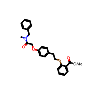 COC(=O)c1ccccc1SCCc1ccc(OCC(=O)N(C)Cc2ccccc2)cc1